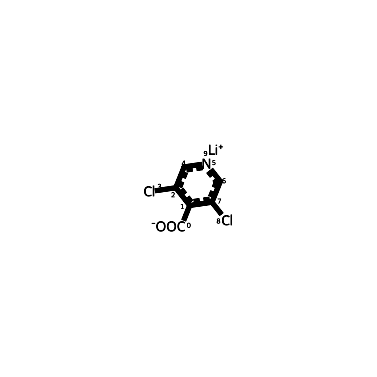 O=C([O-])c1c(Cl)cncc1Cl.[Li+]